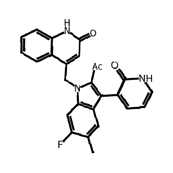 CC(=O)c1c(-c2ccc[nH]c2=O)c2cc(C)c(F)cc2n1Cc1cc(=O)[nH]c2ccccc12